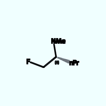 CCC[C@H](CF)NC